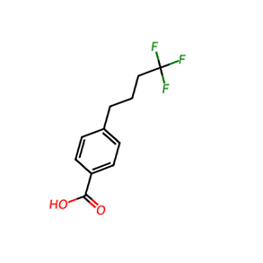 O=C(O)c1ccc(CCCC(F)(F)F)cc1